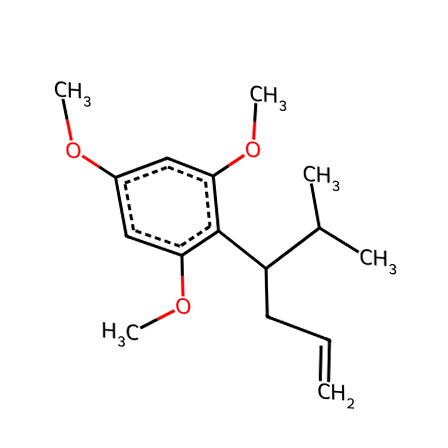 C=CCC(c1c(OC)cc(OC)cc1OC)C(C)C